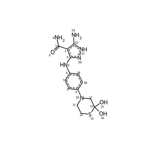 NC(=O)c1c(Nc2ccc(N3CCSC(O)(O)C3)cc2)n[nH]c1N